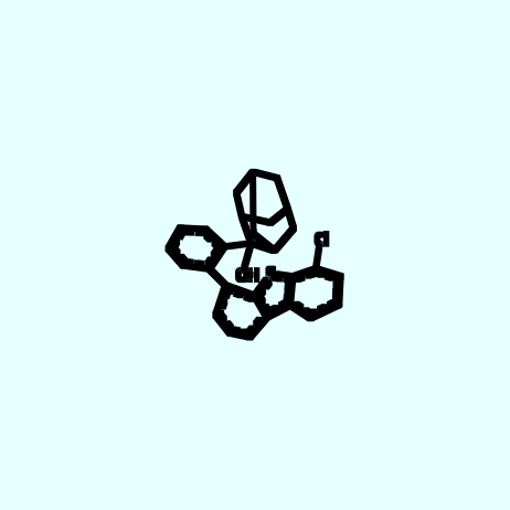 OC1(c2ccccc2-c2cccc3c2sc2c(Cl)cccc23)C2CC3CC(C2)CC1C3